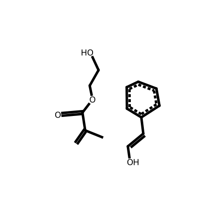 C=C(C)C(=O)OCCO.OC=Cc1ccccc1